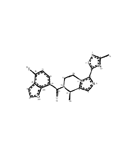 Cc1nsc(-c2ncc3n2CCN(C(=O)c2ccc(F)c4ccoc24)[C@@H]3C)n1